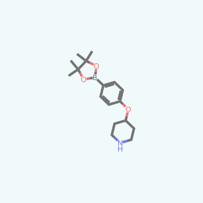 CC1(C)OB(c2ccc(OC3CCNCC3)cc2)OC1(C)C